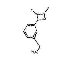 Cn1cc(-c2cccc(CN)c2)n1F